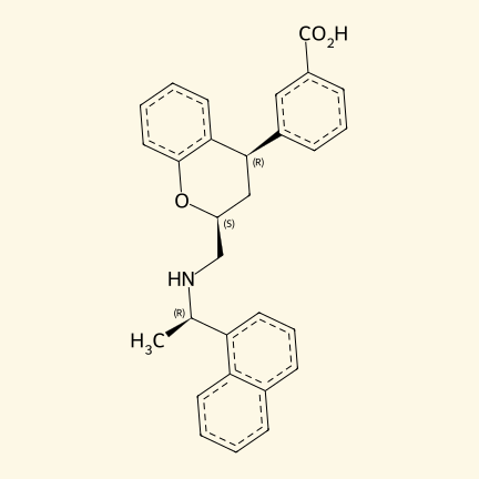 C[C@@H](NC[C@@H]1C[C@H](c2cccc(C(=O)O)c2)c2ccccc2O1)c1cccc2ccccc12